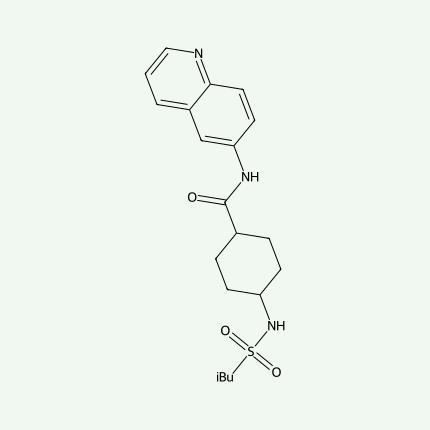 CCC(C)S(=O)(=O)NC1CCC(C(=O)Nc2ccc3ncccc3c2)CC1